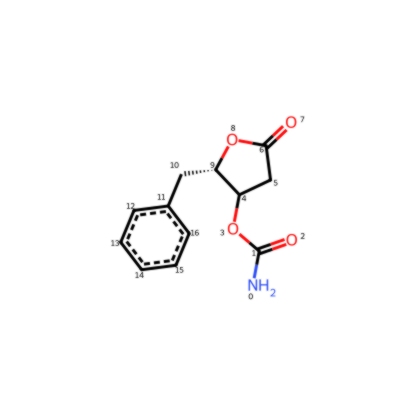 NC(=O)OC1CC(=O)O[C@H]1Cc1ccccc1